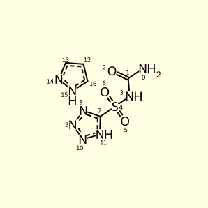 NC(=O)NS(=O)(=O)c1nnn[nH]1.c1cn[nH]c1